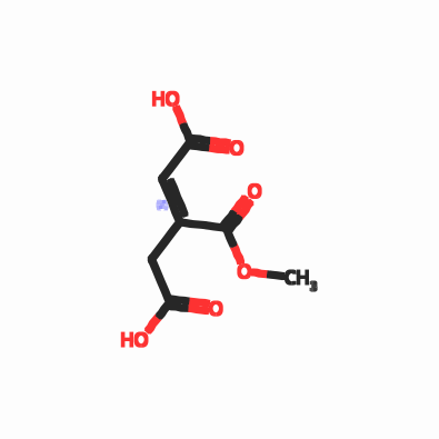 COC(=O)/C(=C\C(=O)O)CC(=O)O